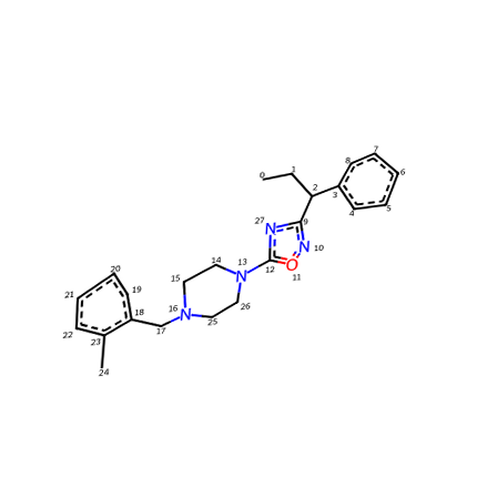 CCC(c1ccccc1)c1noc(N2CCN(Cc3ccccc3C)CC2)n1